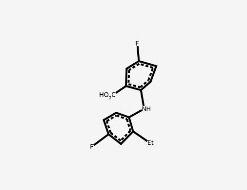 CCc1cc(F)ccc1Nc1ccc(F)cc1C(=O)O